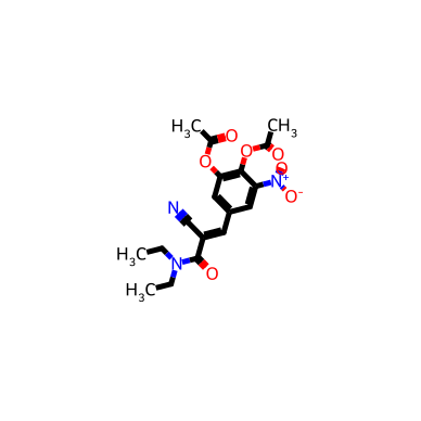 CCN(CC)C(=O)/C(C#N)=C/c1cc(OC(C)=O)c(OC(C)=O)c([N+](=O)[O-])c1